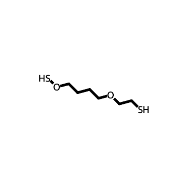 SCCOCCCCOS